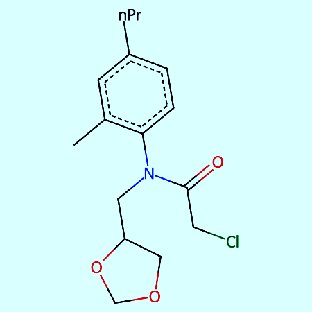 CCCc1ccc(N(CC2COCO2)C(=O)CCl)c(C)c1